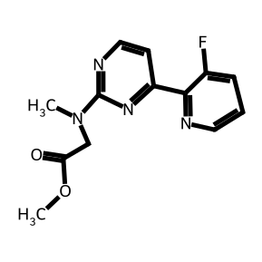 COC(=O)CN(C)c1nccc(-c2ncccc2F)n1